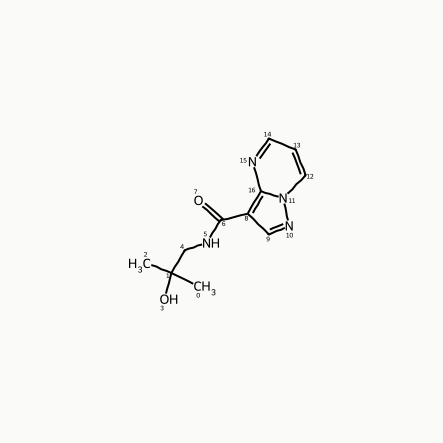 CC(C)(O)CNC(=O)c1cnn2cccnc12